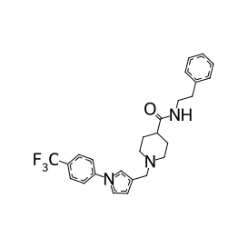 O=C(NCCc1ccccc1)C1CCN(Cc2ccn(-c3ccc(C(F)(F)F)cc3)c2)CC1